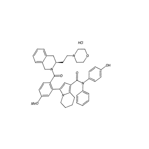 COc1ccc(C(=O)N2Cc3ccccc3C[C@H]2CCN2CCOCC2)c(-c2cc(C(=O)N(c3ccccc3)c3ccc(O)cc3)c3n2CCCC3)c1.Cl